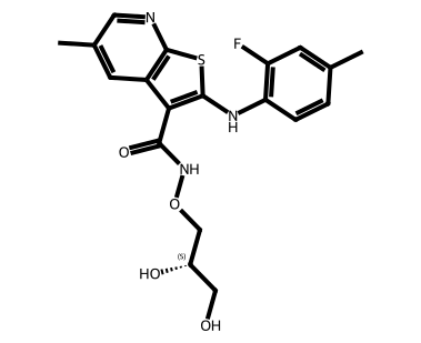 Cc1ccc(Nc2sc3ncc(C)cc3c2C(=O)NOC[C@@H](O)CO)c(F)c1